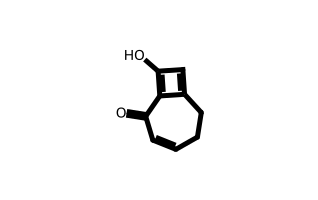 O=C1C=CCCC2=CC(O)=C12